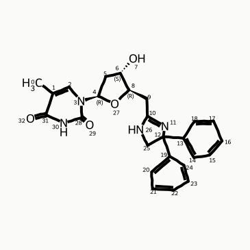 Cc1cn([C@H]2C[C@H](O)[C@@H](CC3=NC(c4ccccc4)(c4ccccc4)CN3)O2)c(=O)[nH]c1=O